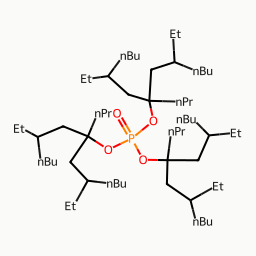 CCCCC(CC)CC(CCC)(CC(CC)CCCC)OP(=O)(OC(CCC)(CC(CC)CCCC)CC(CC)CCCC)OC(CCC)(CC(CC)CCCC)CC(CC)CCCC